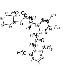 Cc1cccc(C)c1NC(=O)Nc1cc(F)c(F)cc1C(=O)N[C@@H](CC1CCCCC1)C(=O)O